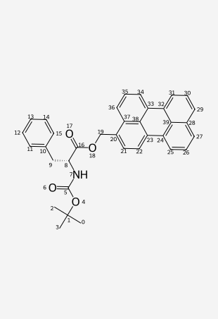 CC(C)(C)OC(=O)N[C@H](Cc1ccccc1)C(=O)OCc1ccc2c3cccc4cccc(c5cccc1c52)c43